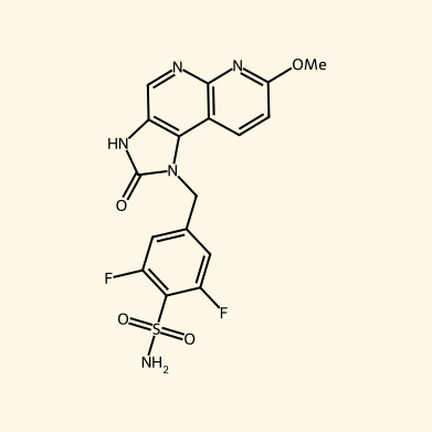 COc1ccc2c(ncc3[nH]c(=O)n(Cc4cc(F)c(S(N)(=O)=O)c(F)c4)c32)n1